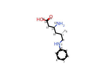 C[C@H](CNc1ccccc1)C[C@H](N)CC(=O)O